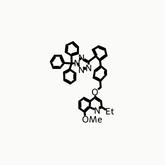 CCc1cc(OCc2ccc(-c3ccccc3-c3nnn(C(c4ccccc4)(c4ccccc4)c4ccccc4)n3)cc2)c2cccc(OC)c2n1